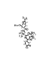 COc1cc(C(=O)NCC(O)(c2cc3c(c(-c4ccc(Cl)c(F)c4)n2)OC[C@]3(C)C(N)=O)C(F)(F)F)cc2cn(C(F)F)nc12